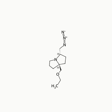 CCOC[C@@]12CCCN1[C@H](CN=[N+]=[N-])CC2